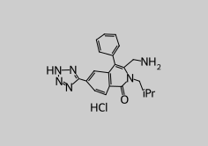 CC(C)Cn1c(CN)c(-c2ccccc2)c2cc(-c3nn[nH]n3)ccc2c1=O.Cl